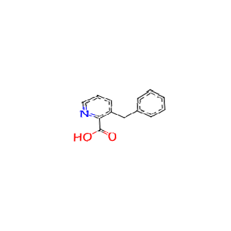 O=C(O)c1ncccc1Cc1ccccc1